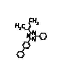 CC/C=C(\CC)c1nc(-c2ccccc2)nc(-c2ccc(-c3ccccc3)cc2)n1